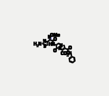 CO/N=C(\C(=O)NC1CN2CC(C(=O)OCc3ccccc3)=C(C(=O)O)N2C1=O)c1csc(N)n1